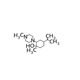 C=C(C)C1CCC(C)(O)C(N2CCN(C)CC2)C1